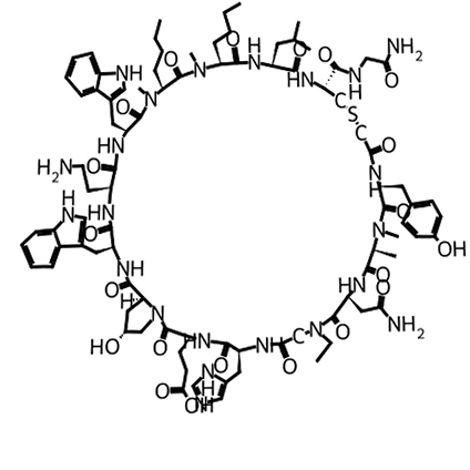 CCCC[C@H]1C(=O)N(C)[C@@H](CCCC)C(=O)N[C@@H](CC(C)C)C(=O)N[C@H](C(=O)NCC(N)=O)CSCC(=O)N[C@@H](Cc2ccc(O)cc2)C(=O)N(C)[C@@H](C)C(=O)N[C@@H](CC(N)=O)C(=O)N(CC)CC(=O)N[C@@H](Cc2cnc[nH]2)C(=O)N[C@@H](CCC(=O)O)C(=O)N2C[C@H](O)C[C@H]2C(=O)N[C@@H](Cc2c[nH]c3ccccc23)C(=O)N[C@@H](CCN)C(=O)N[C@@H](Cc2c[nH]c3ccccc23)C(=O)N1C